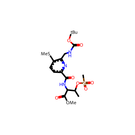 COC(=O)C(NC(=O)c1ccc(SC)c(CNC(=O)OC(C)(C)C)n1)C(C)OS(C)(=O)=O